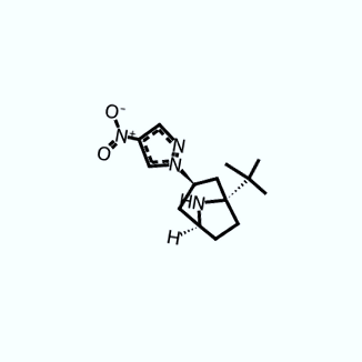 CC(C)(C)[C@@]12CC[C@@H](C[C@@H](n3cc([N+](=O)[O-])cn3)C1)N2